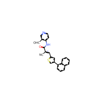 N#C/C(=C\c1cc(-c2cccc3ccccc23)cs1)C(=O)Nc1ccncc1C=O